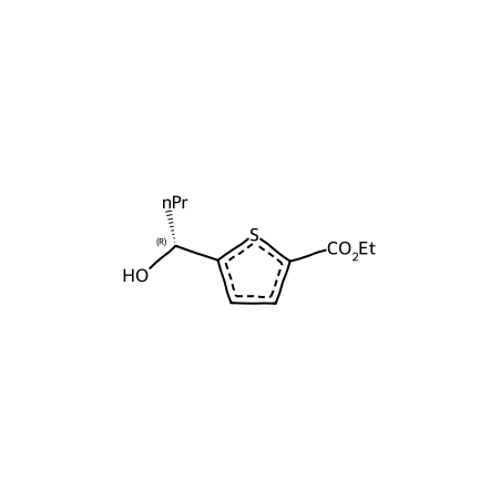 CCC[C@@H](O)c1ccc(C(=O)OCC)s1